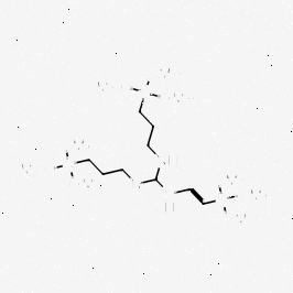 CO[Si](C=C[SiH2]C(NCCC[Si](OC)(OC)OC)NCCC[Si](OC)(OC)OC)(OC)OC